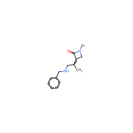 CC(=O)N1C/C(=C(\C)CNCc2ccccc2)C1=O